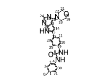 Cc1ccc(NC(=O)Nc2ccc(-c3cc4c(N5CCOCC5)ncnc4[nH]3)cc2)cc1